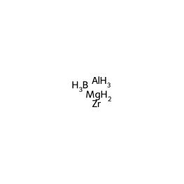 B.[AlH3].[MgH2].[Zr]